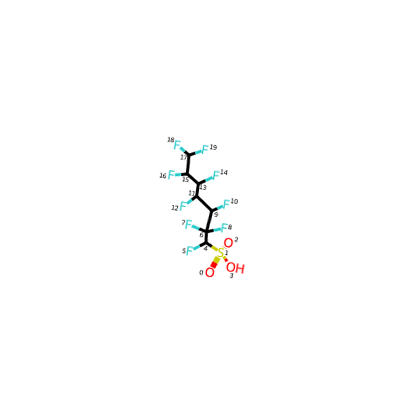 O=S(=O)(O)C(F)C(F)(F)C(F)C(F)C(F)C(F)C(F)F